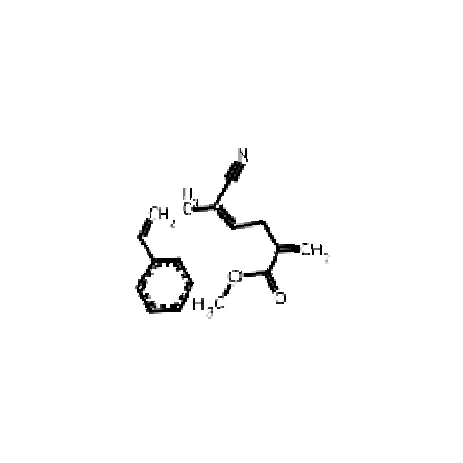 C=C(CC=C(C)C#N)C(=O)OC.C=Cc1ccccc1